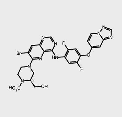 O=C(O)N1CCN(c2nc3c(Nc4cc(F)c(Oc5ccn6ncnc6c5)cc4F)ncnc3cc2Br)C[C@H]1CO